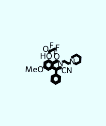 COc1ccc2c(=O)n(CCN3CCCCC3)c(C#N)c(-c3ccccc3)c2c1.O=C(O)C(F)(F)F